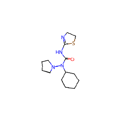 O=C(NC1=NCCS1)N(C1CCCCC1)N1CCCC1